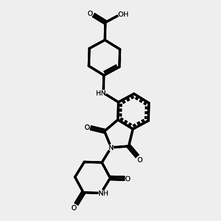 O=C1CCC(N2C(=O)c3cccc(NC4=CCC(C(=O)O)CC4)c3C2=O)C(=O)N1